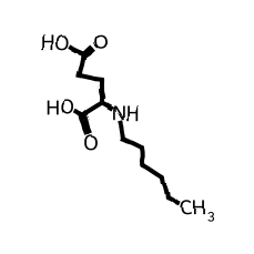 CCCCCCNC(CCC(=O)O)C(=O)O